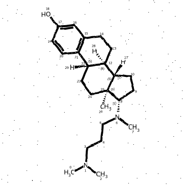 CN(C)CCCN(C)[C@H]1CC[C@H]2[C@@H]3CCc4cc(O)ccc4[C@H]3CC[C@]12C